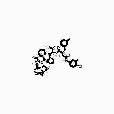 Cc1cccc(C[C@H](NC(=O)Nc2ccc(Cl)c(F)c2)C(=O)N[C@H](C(=O)N2CCC[C@H]2C(=O)N2CCCC[C@H]2C(=O)N[C@@H](C)C(=O)N2C[C@H](C)C[C@@]23CC3=O)[C@H](C)O)c1